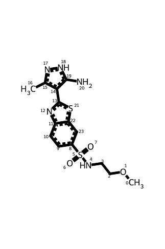 COCCNS(=O)(=O)c1ccc2nc(-c3c(C)n[nH]c3N)sc2c1